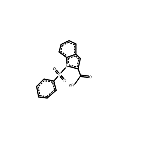 CCCC(=O)c1cc2ccccc2n1S(=O)(=O)c1ccccc1